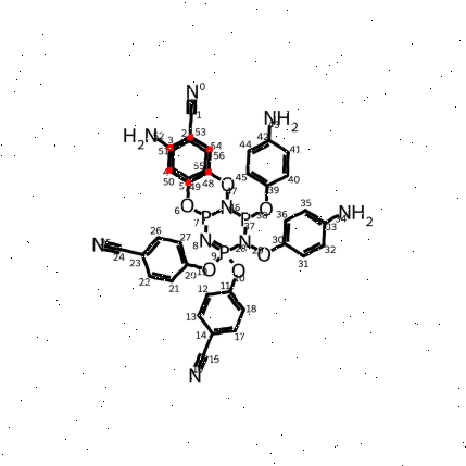 N#Cc1ccc(OP2N=P(Oc3ccc(C#N)cc3)(Oc3ccc(C#N)cc3)N(Oc3ccc(N)cc3)P(Oc3ccc(N)cc3)N2Oc2ccc(N)cc2)cc1